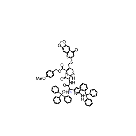 COc1ccc(COC(=O)C2=C(CSc3cc(=O)c4cc5c(cc4s3)OCO5)CS[C@H]3C(NC(=O)/C(=N\OC(c4ccccc4)(c4ccccc4)c4ccccc4)c4csc(NC(c5ccccc5)(c5ccccc5)c5ccccc5)n4)C(=O)N23)cc1